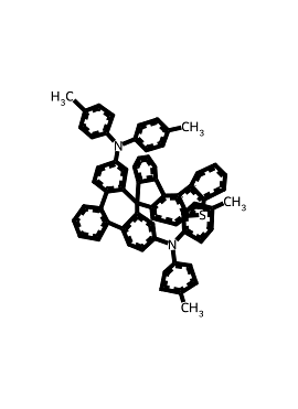 Cc1ccc(N(c2ccc(C)cc2)c2ccc3c(c2)C2(c4cc(N(c5ccc(C)cc5)c5ccc(C)cc5)ccc4-c4ccccc4-3)c3ccccc3-c3c2ccc2sc4ccccc4c32)cc1